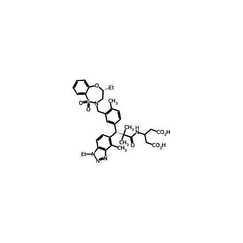 CC[C@@H]1CN(Cc2cc([C@@H](c3ccc4c(nnn4CC)c3C)C(C)(C)C(=O)NC(CC(=O)O)CC(=O)O)ccc2C)S(=O)(=O)c2ccccc2O1